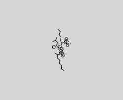 CC(C)C[N+](=O)[O-].CCCCCC(CCCC)[N+](=O)[O-].CCCCCCC(C)[N+](=O)[O-]